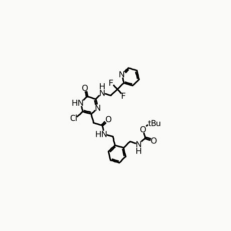 CC(C)(C)OC(=O)NCc1ccccc1CNC(=O)Cc1nc(NCC(F)(F)c2ccccn2)c(=O)[nH]c1Cl